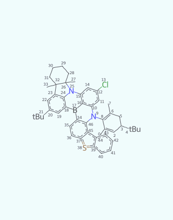 CC1=CC(C(C)(C)C)CC(C)=C1N1c2cc(Cl)cc3c2B(c2cc(C(C)(C)C)cc4c2N3C2(C)CCCCC42C)c2ccc3sc4ccccc4c3c21